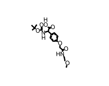 COCCNC(=O)COc1ccc(C(NC(=O)OC(C)(C)C)C(=O)O)cc1